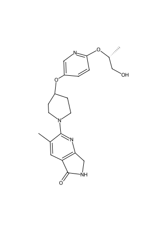 Cc1cc2c(nc1N1CCC(Oc3ccc(O[C@H](C)CO)nc3)CC1)CNC2=O